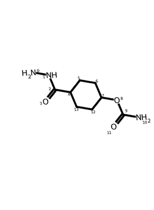 NNC(=O)C1CCC(OC(N)=O)CC1